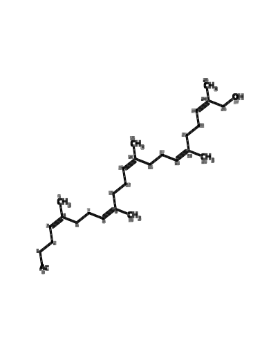 CC(=O)CCC=C(C)CCC=C(C)CCC=C(C)CCC=C(C)CCC=C(C)CO